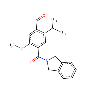 COc1cc(C=O)c(C(C)C)cc1C(=O)N1Cc2ccccc2C1